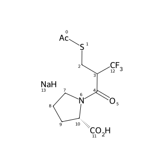 CC(=O)SCC(C(=O)N1CCC[C@H]1C(=O)O)C(F)(F)F.[NaH]